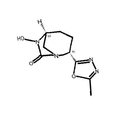 Cc1nnc([C@H]2CC[C@H]3CN2C(=O)N3O)o1